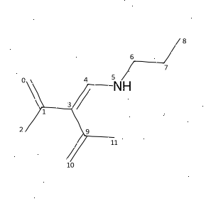 C=C(C)C(=CNCCC)C(=C)C